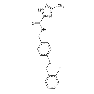 Cc1n[nH]c(C(=O)NCc2ccc(OCc3ccccc3F)cc2)n1